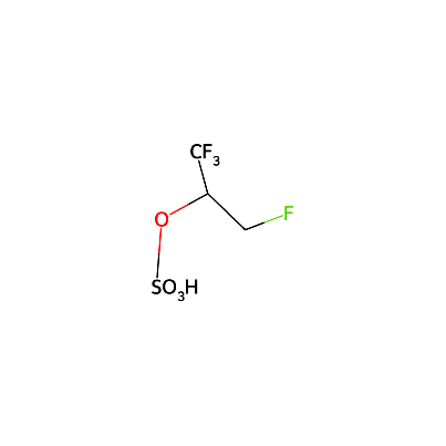 O=S(=O)(O)OC(CF)C(F)(F)F